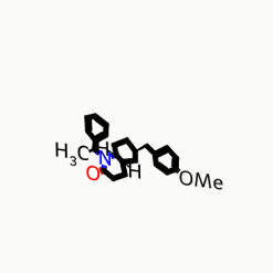 COc1ccc(C[C@@H]2CC[C@H]3[C@H](CCC(=O)N3[C@@H](C)c3ccccc3)C2)cc1